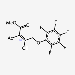 COC(=O)/C(C(C)=O)=C(/O)COc1c(F)c(F)c(F)c(F)c1F